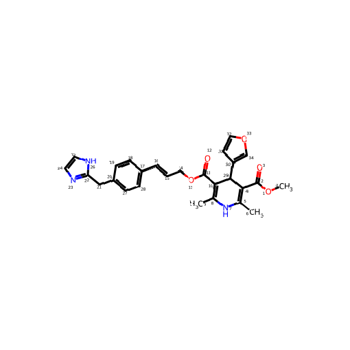 COC(=O)C1=C(C)NC(C)=C(C(=O)OCC=Cc2ccc(Cc3ncc[nH]3)cc2)C1c1ccoc1